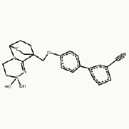 N#Cc1cccc(-c2ccc(OCC34CCC(CC3)N3CCS(O)(O)N=C34)cc2)c1